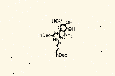 CCCCCCCCCCCCCCNC(=O)N(CCCCCCCCCCCC)[C@@H]1O[C@H](CO)[C@@H](O)[C@H](O)[C@@H]1N